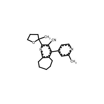 Cc1cc(-c2c(C#N)c(C3(C)CCCO3)nc3c2CCCCC3)ccn1